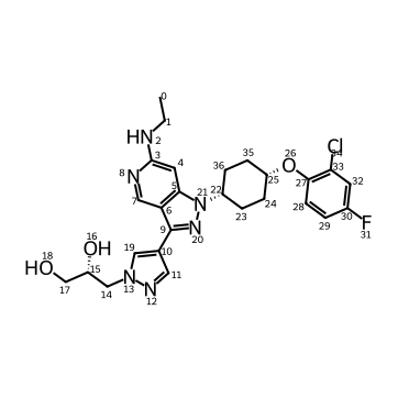 CCNc1cc2c(cn1)c(-c1cnn(C[C@@H](O)CO)c1)nn2[C@H]1CC[C@@H](Oc2ccc(F)cc2Cl)CC1